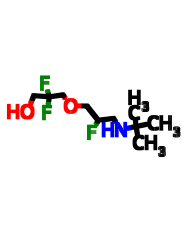 CC(C)(C)NCC(F)COCC(F)(F)CO